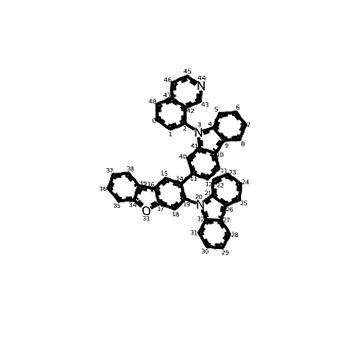 c1cc(-n2c3ccccc3c3ccc(-c4cc5c(cc4-n4c6ccccc6c6ccccc64)oc4ccccc45)cc32)c2cnccc2c1